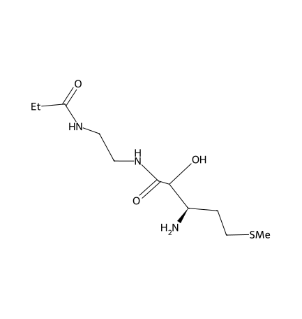 CCC(=O)NCCNC(=O)C(O)[C@H](N)CCSC